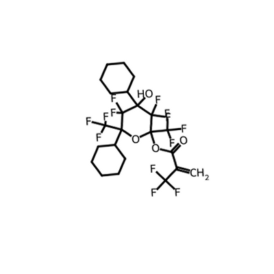 C=C(C(=O)OC1(C(F)(F)F)OC(C2CCCCC2)(C(F)(F)F)C(F)(F)C(O)(C2CCCCC2)C1(F)F)C(F)(F)F